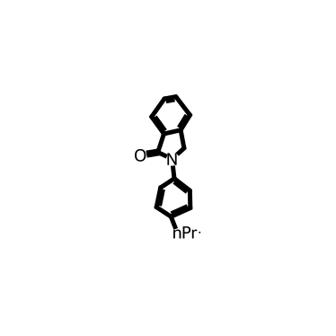 CC[CH]c1ccc(N2Cc3ccccc3C2=O)cc1